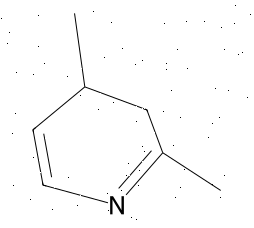 CC1=NC=CC(C)C1